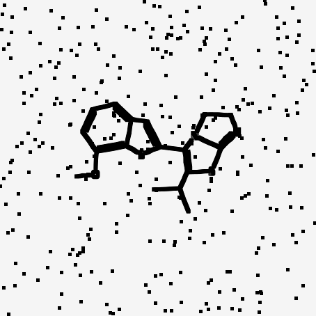 COc1cccc2cc(C3=C(C(C)C)SC4=NCCN43)sc12